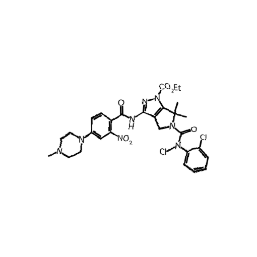 CCOC(=O)n1nc(NC(=O)c2ccc(N3CCN(C)CC3)cc2[N+](=O)[O-])c2c1C(C)(C)N(C(=O)N(Cl)c1ccccc1Cl)C2